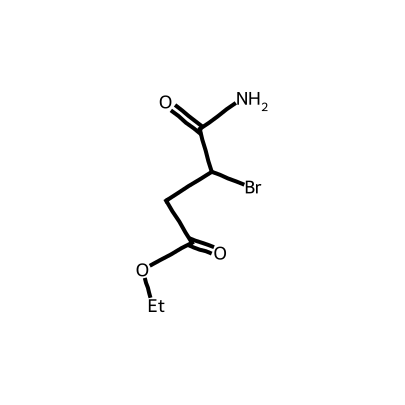 CCOC(=O)CC(Br)C(N)=O